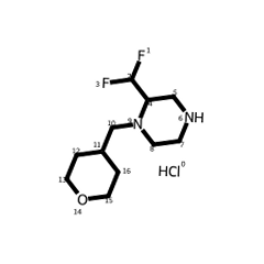 Cl.FC(F)C1CNCCN1CC1CCOCC1